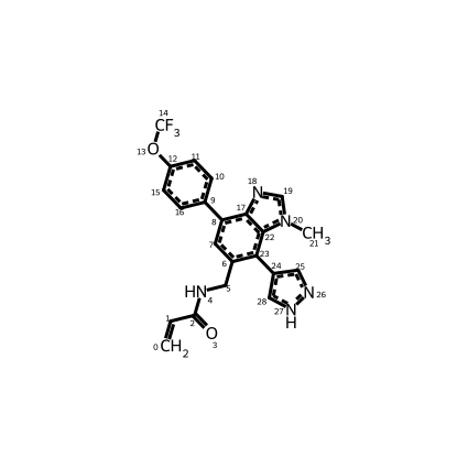 C=CC(=O)NCc1cc(-c2ccc(OC(F)(F)F)cc2)c2ncn(C)c2c1-c1cn[nH]c1